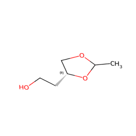 CC1OC[C@@H](CCO)O1